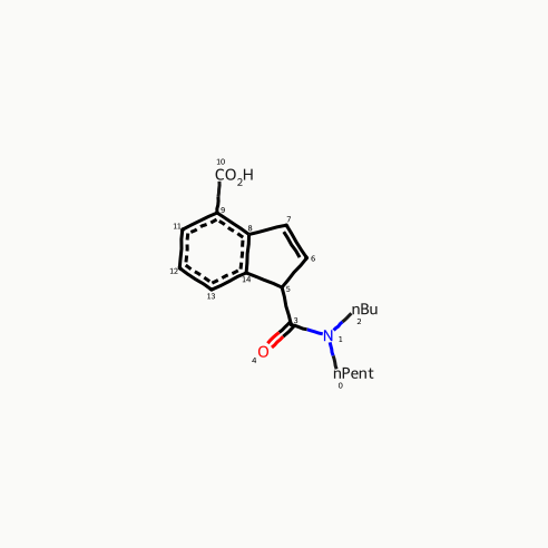 CCCCCN(CCCC)C(=O)C1C=Cc2c(C(=O)O)cccc21